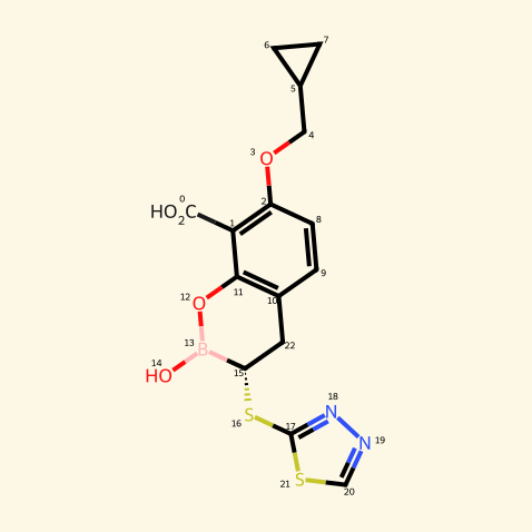 O=C(O)c1c(OCC2CC2)ccc2c1OB(O)[C@@H](Sc1nncs1)C2